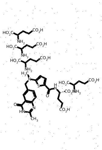 Cc1nc2ccc(CN(C)c3ccc(C(=O)N[C@@H](CCC(=O)O)C(=O)O)s3)cc2c(=O)[nH]1.NC(CCC(=O)O)C(=O)O.NC(CCC(=O)O)C(=O)O.NC(CCC(=O)O)C(=O)O.NC(CCC(=O)O)C(=O)O